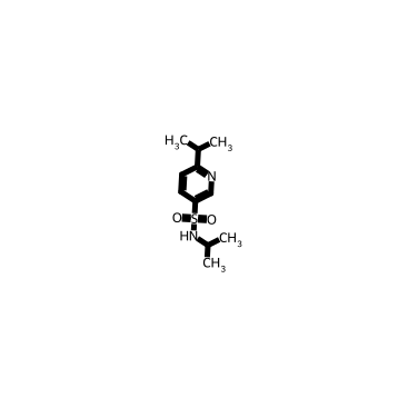 CC(C)NS(=O)(=O)c1ccc(C(C)C)nc1